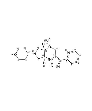 Cl.c1ccc(-c2nnn3c2CO[C@H]2CN(C4CCOCC4)C[C@@H]23)nc1